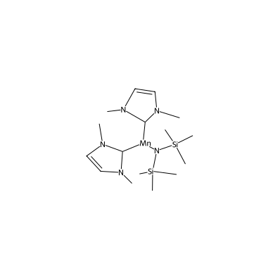 CN1C=CN(C)[CH]1[Mn]([CH]1N(C)C=CN1C)[N]([Si](C)(C)C)[Si](C)(C)C